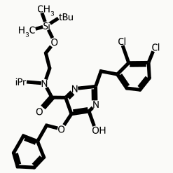 CC(C)N(CCO[Si](C)(C)C(C)(C)C)C(=O)c1nc(Cc2cccc(Cl)c2Cl)nc(O)c1OCc1ccccc1